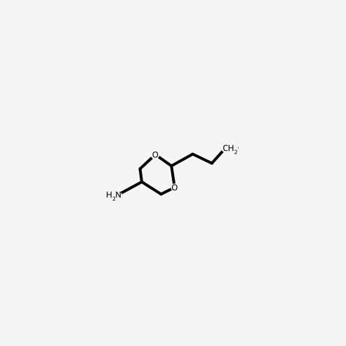 [CH2]CCC1OCC(N)CO1